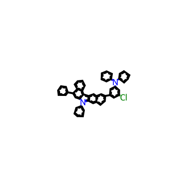 Clc1cc(-c2ccc3cc4c(cc3c2)c2c3ccccc3c(-c3ccccc3)cc2n4-c2ccccc2)cc(N(c2ccccc2)c2ccccc2)c1